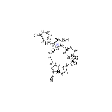 N#Cc1cc2c3cc(ccn13)CS(=O)(=O)N1CCN(CC1)/C(C=N)=C(/C(=O)Nc1cccc(Cl)c1)OCCC2